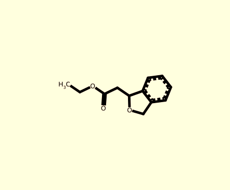 CCOC(=O)CC1OCc2ccccc21